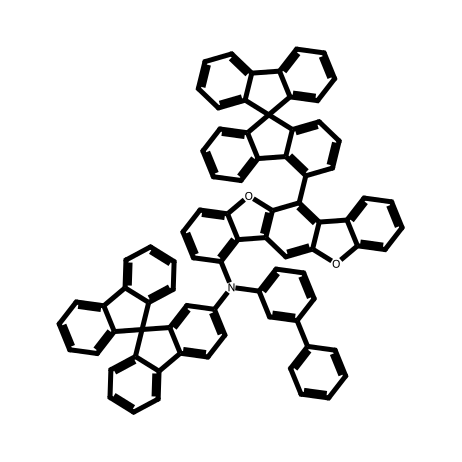 c1ccc(-c2cccc(N(c3ccc4c(c3)C3(c5ccccc5-c5ccccc53)c3ccccc3-4)c3cccc4oc5c(-c6cccc7c6-c6ccccc6C76c7ccccc7-c7ccccc76)c6c(cc5c34)oc3ccccc36)c2)cc1